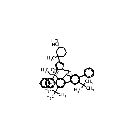 Cl.Cl.[CH2]=[Zr]([CH2]C)([C]1=CC(C2(C)CCCCC2)=CC1C)([c]1ccccc1)[c]1c2c(cc(C(C)(C)C)c1-c1ccccc1)-c1cc(C(C)(C)C)c(-c3ccccc3)cc1C2